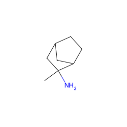 CC1(N)CC2CCC1C2